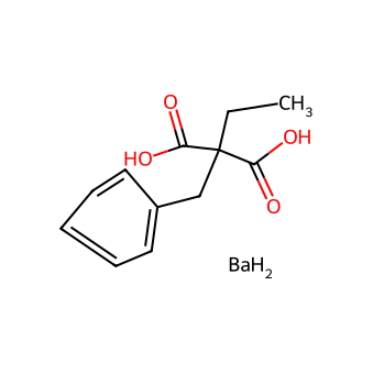 CCC(Cc1ccccc1)(C(=O)O)C(=O)O.[BaH2]